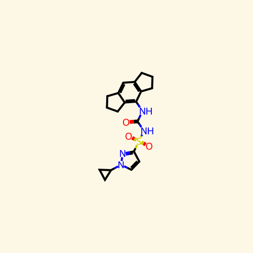 O=C(Nc1c2c(cc3c1CCC3)CCC2)NS(=O)(=O)c1ccn(C2CC2)n1